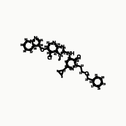 Cn1c(Nc2cc(C3CC3)nn(CCOCc3ccccc3)c2=O)nc2ncc(Oc3cnn4ccccc34)c(Cl)c21